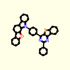 c1ccc(-c2nc(-c3ccc(-n4c5ccccc5c5ccc6c7ccccc7oc6c54)cc3)c3sc4ccccc4c3n2)cc1